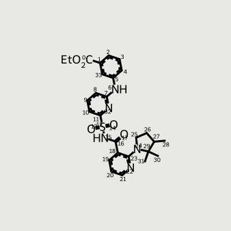 CCOC(=O)c1cccc(Nc2cccc(S(=O)(=O)NC(=O)c3cccnc3N3CCC(C)C3(C)C)n2)c1